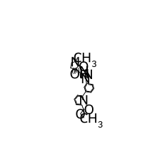 COC(=O)c1cccc(-c2cccc(-n3cc([C@]4(O)CCN(C)C4=O)nn3)c2)n1